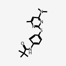 Cc1cc(N(C)C)nc(Sc2ccc(NC(=O)C(C)(C)C)cc2)n1